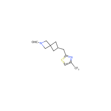 O=CN1CC2(CC(Cc3nc(C(F)(F)F)cs3)C2)C1